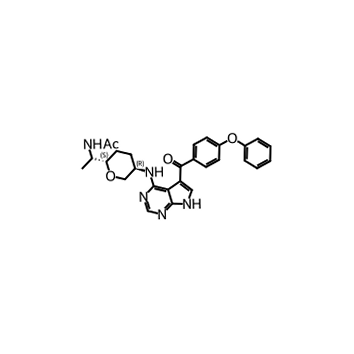 CC(=O)NC(C)[C@@H]1CC[C@@H](Nc2ncnc3[nH]cc(C(=O)c4ccc(Oc5ccccc5)cc4)c23)CO1